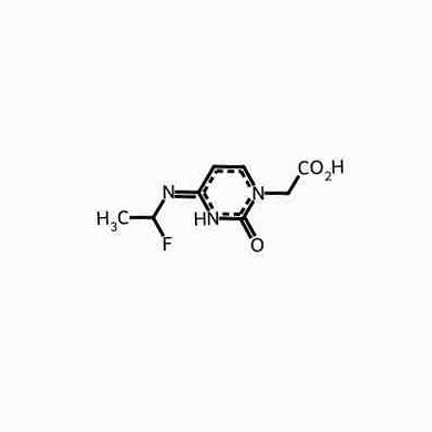 CC(F)/N=c1/ccn(CC(=O)O)c(=O)[nH]1